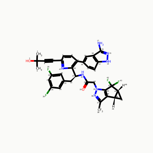 CC(C)(O)C#Cc1ccc(-c2ccc3[nH]nc(N)c3c2)c([C@H](Cc2cc(F)cc(F)c2)NC(=O)Cn2nc(C(F)(F)F)c3c2C(F)(F)[C@@H]2C[C@H]32)n1